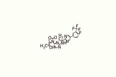 C[C@@H](Nc1nccc(N2C(=O)OC[C@@H]2[C@@H](C)O)n1)c1ncc(-c2ccc(F)c(C(F)(F)F)c2)cn1